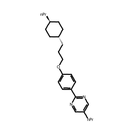 CCCc1cnc(-c2ccc(OCCC[C@H]3CC[C@H](CCC)CC3)cc2)nc1